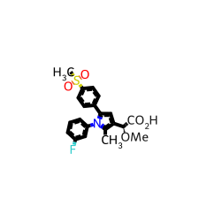 CO[C@@H](C(=O)O)c1cc(-c2ccc(S(C)(=O)=O)cc2)n(-c2cccc(F)c2)c1C